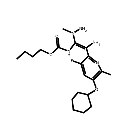 CCCCOC(=O)N/C(=C(/N)c1nc(C)c(OC2CCCCC2)cc1F)N(C)N